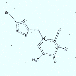 CCn1c(=O)c(C)cn(Cc2nnc(Br)s2)c1=O